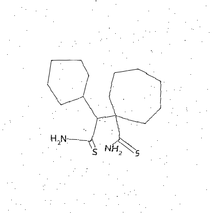 NC(=S)C(C1CCCCC1)C1(C(N)=S)CCCCCC1